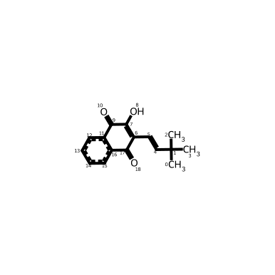 CC(C)(C)C=CC1=C(O)C(=O)c2ccccc2C1=O